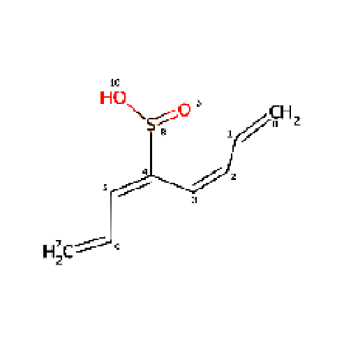 C=C/C=C\C(=C/C=C)S(=O)O